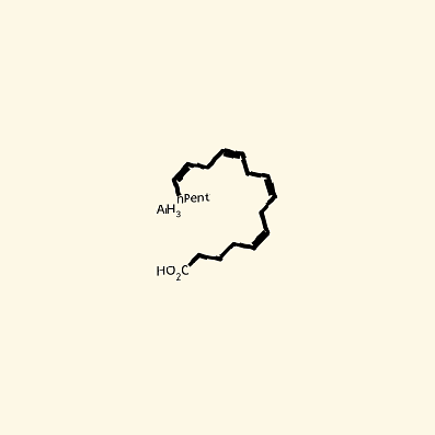 CCCCC/C=C\C/C=C\C/C=C\C/C=C\CCCC(=O)O.[AlH3]